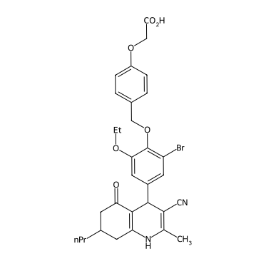 CCCC1CC(=O)C2=C(C1)NC(C)=C(C#N)C2c1cc(Br)c(OCc2ccc(OCC(=O)O)cc2)c(OCC)c1